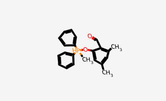 Cc1cc(C)c(C=O)c(O[PH](C)(c2ccccc2)c2ccccc2)c1